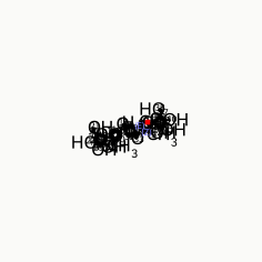 C=C(/C(C)=C\C(=C/C)N1CC(=O)N(c2ccc([C@H]3O[C@H](CO)[C@@H](O)[C@H](O)[C@@H]3O)c(C)c2)CC1=O)[C@H]1O[C@H](CO)[C@@H](O)[C@H](O)[C@@H]1O